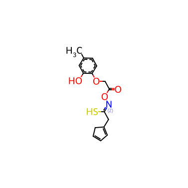 Cc1ccc(OCC(=O)O/N=C(\S)CC2=CC=CC2)c(O)c1